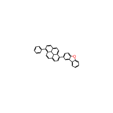 C1=CC2=C(c3ccccc3)C=CC3=CC=C4C(c5ccc6oc7ccccc7c6c5)=CC=C1C4C32